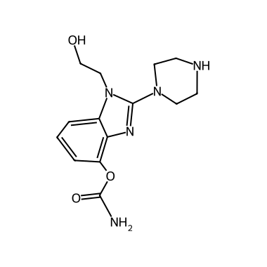 NC(=O)Oc1cccc2c1nc(N1CCNCC1)n2CCO